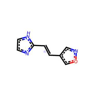 C(=C\c1ncc[nH]1)/c1cnoc1